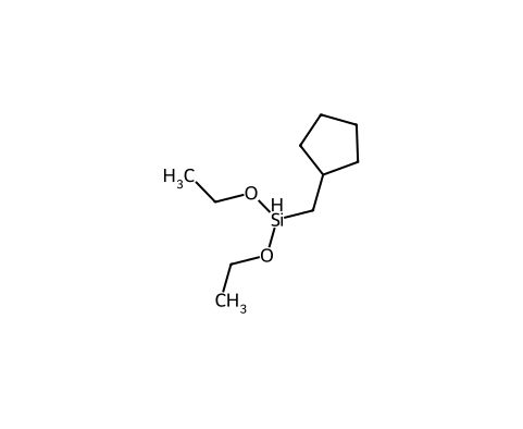 CCO[SiH](CC1CCCC1)OCC